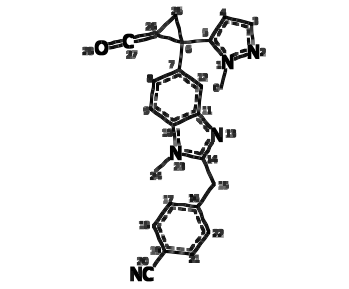 Cn1nccc1C1(c2ccc3c(c2)nc(Cc2ccc(C#N)cc2)n3C)CC1=C=O